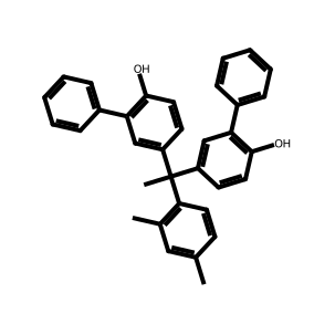 Cc1ccc(C(C)(c2ccc(O)c(-c3ccccc3)c2)c2ccc(O)c(-c3ccccc3)c2)c(C)c1